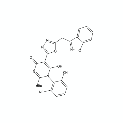 CCCCc1nc(=O)c(-c2nnc(Cc3noc4ccccc34)o2)c(O)n1-c1c(C#N)cccc1C#N